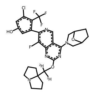 [2H]C([2H])(Oc1nc(N2CC3CCC(C2)O3)c2cnc(-c3cc(O)cc(Cl)c3C(F)(F)F)c(F)c2n1)C12CCCN1CCC2